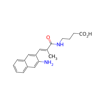 CC(=Cc1cc2ccccc2cc1N)C(=O)NCCCC(=O)O